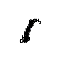 CCOC(=O)C1CCN(/C=N/c2ccc(-c3cc(CNC(=O)c4ccc(Cl)s4)on3)cc2)CC1